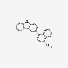 Cc1ccc(C2=CC=C3Sc4ccccc4C3C2)c2ccccc12